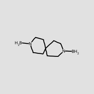 BN1CCC2(CC1)CCN(B)CC2